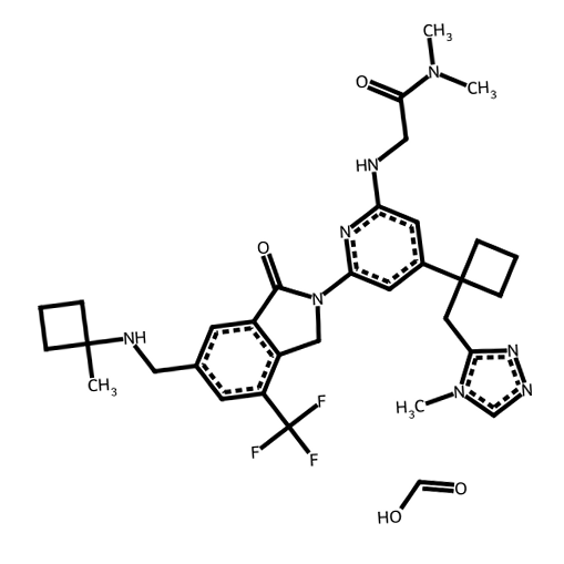 CN(C)C(=O)CNc1cc(C2(Cc3nncn3C)CCC2)cc(N2Cc3c(cc(CNC4(C)CCC4)cc3C(F)(F)F)C2=O)n1.O=CO